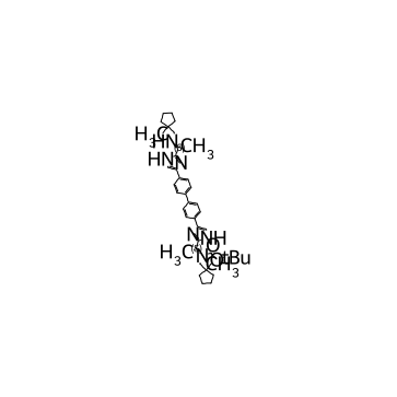 C[C@H](NCC1(C)CCCC1)c1nc(-c2ccc(-c3ccc(-c4c[nH]c([C@H](C)N(CC5(C)CCCC5)C(=O)OC(C)(C)C)n4)cc3)cc2)c[nH]1